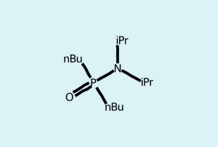 CCCCP(=O)(CCCC)N(C(C)C)C(C)C